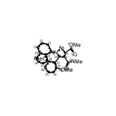 CNC(=O)c1c(C(=O)OC)nn(-c2cccc3ccccc23)c1-c1c(OC)cccc1OC